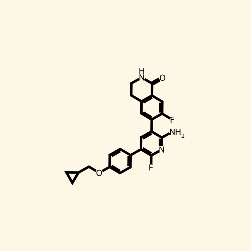 Nc1nc(F)c(-c2ccc(OCC3CC3)cc2)cc1-c1cc2c(cc1F)C(=O)NCC2